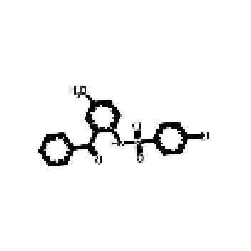 Bc1ccc(NS(=O)(=O)c2ccc(CC)cc2)c(C(=O)c2ccccc2)c1